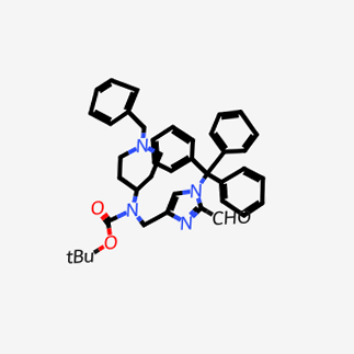 CC(C)(C)OC(=O)N(Cc1cn(C(c2ccccc2)(c2ccccc2)c2ccccc2)c(C=O)n1)C1CCN(Cc2ccccc2)CC1